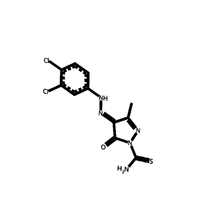 CC1=NN(C(N)=S)C(=O)/C1=N/Nc1ccc(Cl)c(Cl)c1